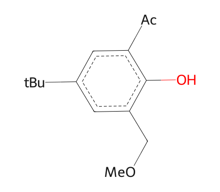 COCc1cc(C(C)(C)C)cc(C(C)=O)c1O